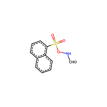 O=CNOS(=O)(=O)c1cccc2ccccc12